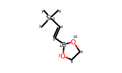 C[Si](C)(C)C=CB1OCCO1